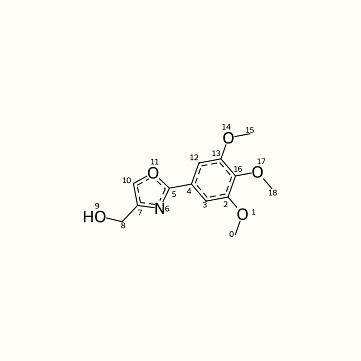 COc1cc(-c2nc(CO)co2)cc(OC)c1OC